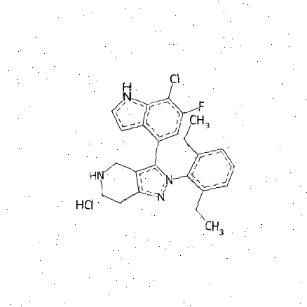 CCc1cccc(CC)c1-n1nc2c(c1-c1cc(F)c(Cl)c3[nH]ccc13)CNCC2.Cl